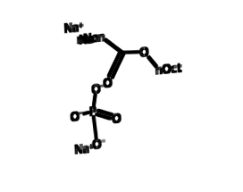 CCCCCCCCCC(=O)OCCCCCCCC.O=P([O-])([O-])[O-].[Na+].[Na+].[Na+]